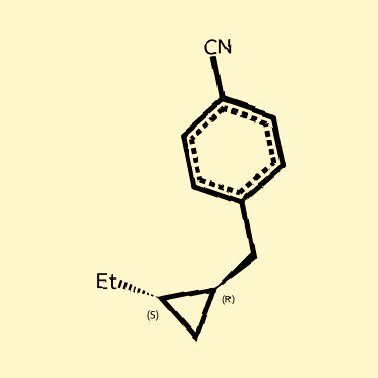 CC[C@H]1C[C@@H]1Cc1ccc(C#N)cc1